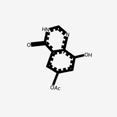 CC(=O)Oc1cc(O)c2nc[nH]c(=O)c2c1